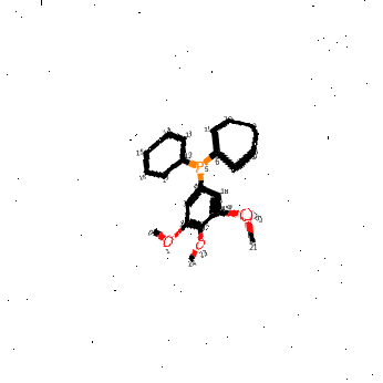 COc1cc(P(C2CCCCC2)C2CCCCC2)cc(OC)c1OC